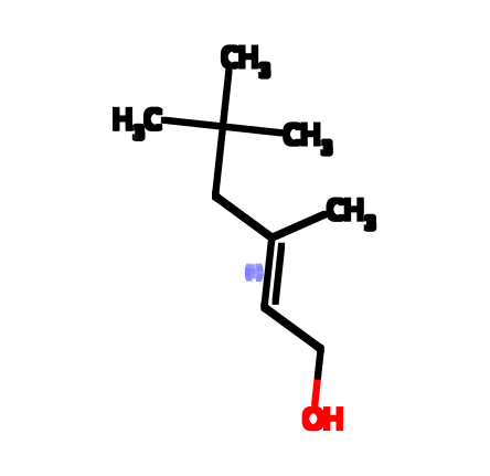 C/C(=C\CO)CC(C)(C)C